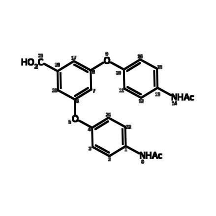 CC(=O)Nc1ccc(Oc2cc(Oc3ccc(NC(C)=O)cc3)cc(C(=O)O)c2)cc1